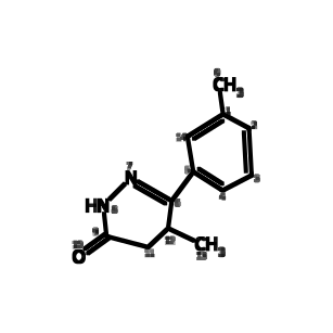 Cc1cccc(C2=NNC(=O)CC2C)c1